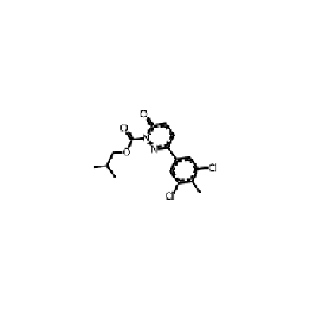 Cc1c(Cl)cc(-c2ccc(=O)n(C(=O)OCC(C)C)n2)cc1Cl